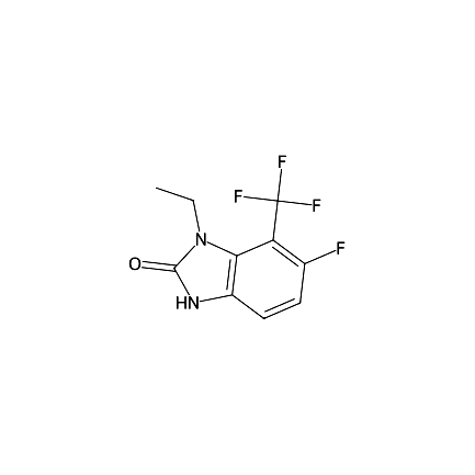 CCn1c(=O)[nH]c2ccc(F)c(C(F)(F)F)c21